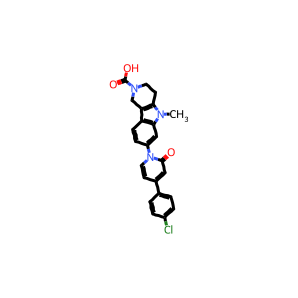 Cn1c2c(c3ccc(-n4ccc(-c5ccc(Cl)cc5)cc4=O)cc31)CN(C(=O)O)CC2